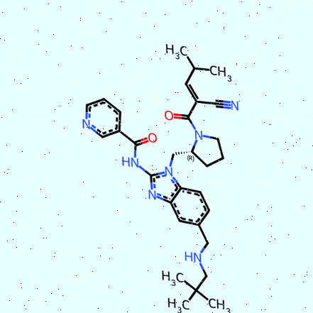 CC(C)C=C(C#N)C(=O)N1CCC[C@@H]1Cn1c(NC(=O)c2cccnc2)nc2cc(CNCC(C)(C)C)ccc21